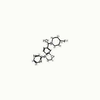 OC(c1ccc2c(c1)OCCN2c1cnccn1)N1CCC(F)CC1